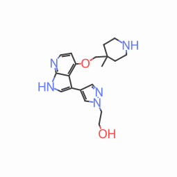 CC1(COc2ccnc3[nH]cc(-c4cnn(CCO)c4)c23)CCNCC1